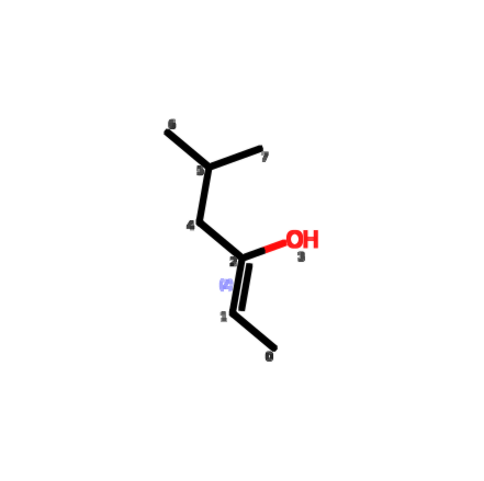 C/C=C(\O)CC(C)C